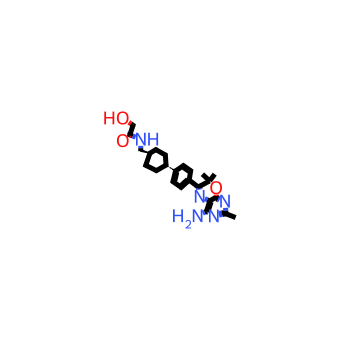 Cc1nc(N)c2c(n1)OC(C)(C)C(c1ccc([C@H]3CC[C@H](CNC(=O)CO)CC3)cc1)=N2